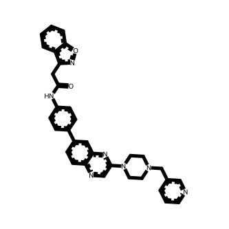 O=C(Cc1noc2ccccc12)Nc1ccc(-c2ccc3ncc(N4CCN(Cc5cccnc5)CC4)nc3c2)cc1